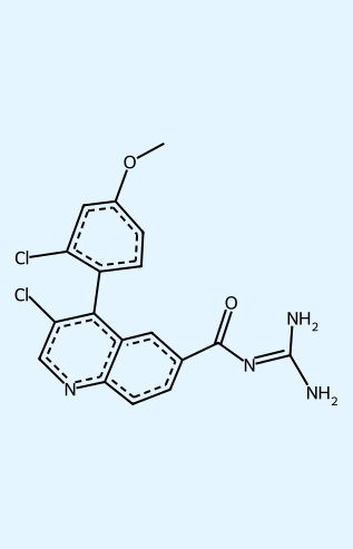 COc1ccc(-c2c(Cl)cnc3ccc(C(=O)N=C(N)N)cc23)c(Cl)c1